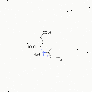 CCOC(=O)/C=C(\C)N[C@@H](CCC(=O)O)C(=O)O.[NaH]